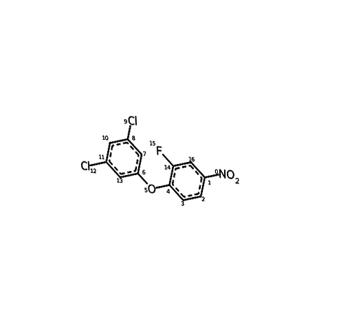 O=[N+]([O-])c1ccc(Oc2cc(Cl)cc(Cl)c2)c(F)c1